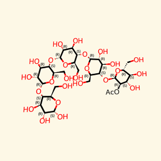 CC(=O)O[C@H]1[C@@H](O[C@H]2[C@H](O)[C@@H](O)[C@@H](O[C@H]3[C@H](O)[C@@H](O)[C@@H](O[C@H]4[C@H](O)[C@@H](O)[C@@H](O[C@H]5[C@H](O)[C@@H](O)[C@@H](O)O[C@@H]5CO)O[C@@H]4CO)O[C@@H]3CO)O[C@@H]2CO)O[C@H](CO)[C@@H](O)[C@@H]1O